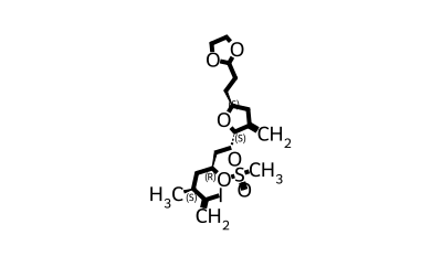 C=C1C[C@H](CCC2OCCO2)O[C@H]1CC[C@H](C[C@H](C)C(=C)I)OS(C)(=O)=O